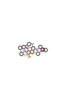 C=Cc1c(N(c2c(P)cccc2-c2ccccc2)c2cccc3c2oc2ccccc23)cc(C(C)C)c2ccc3c(N(c4c(P)cccc4-c4ccccc4)c4cccc5c4oc4ccccc45)cc(C(C)C)c(C)c3c12